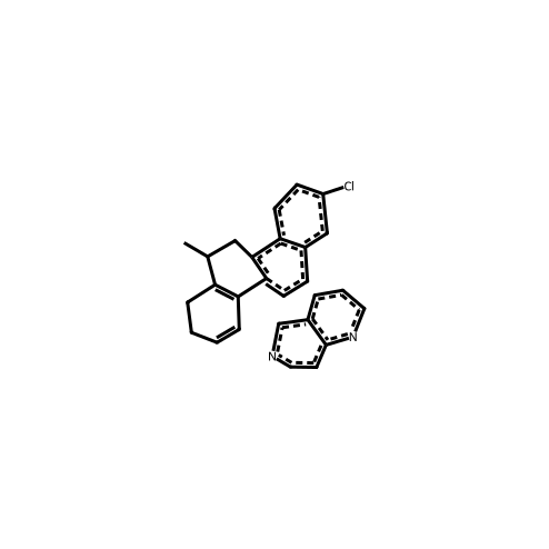 CC1Cc2c(ccc3cc(Cl)ccc23)C2=C1CCC=C2.c1cnc2ccncc2c1